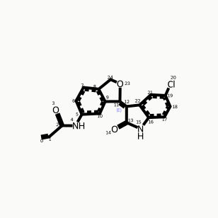 C=CC(=O)Nc1ccc2c(c1)/C(=C1\C(=O)Nc3ccc(Cl)cc31)OC2